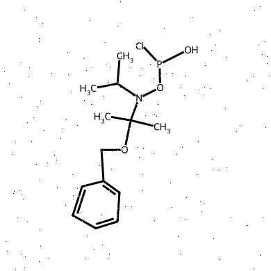 CC(C)N(OP(O)Cl)C(C)(C)OCc1ccccc1